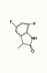 CC1C(=O)Nc2c(F)cc(F)cc21